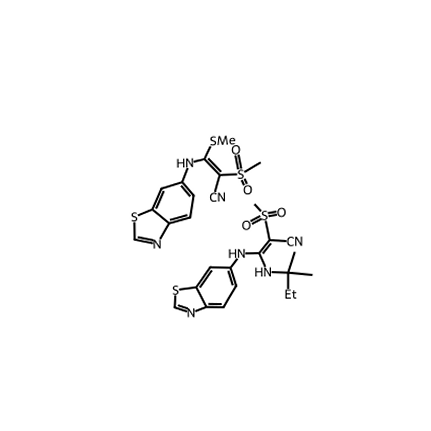 CCC(C)(C)NC(Nc1ccc2ncsc2c1)=C(C#N)S(C)(=O)=O.CSC(Nc1ccc2ncsc2c1)=C(C#N)S(C)(=O)=O